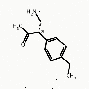 CCc1ccc([C@@H](CN)C(C)=O)cc1